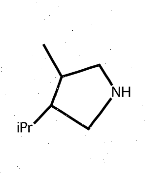 CC(C)C1CNCC1C